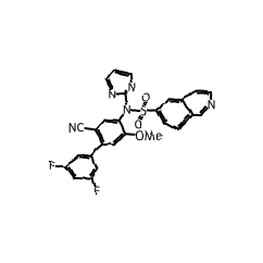 COc1cc(-c2cc(F)cc(F)c2)c(C#N)cc1N(c1ncccn1)S(=O)(=O)c1ccc2cnccc2c1